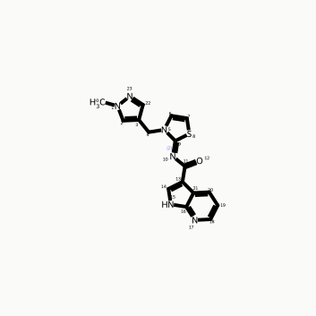 Cn1cc(Cn2ccs/c2=N\C(=O)c2c[nH]c3ncccc23)cn1